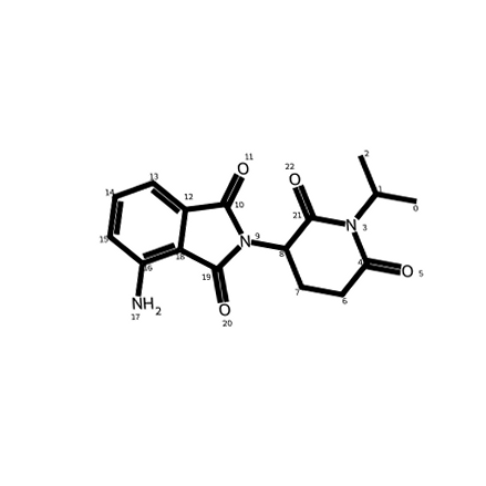 CC(C)N1C(=O)CCC(N2C(=O)c3cccc(N)c3C2=O)C1=O